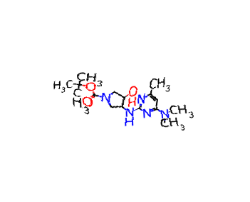 Cc1cc(N(C)C)nc(NC2CN(C(=O)OC(C)(C)C)CC2O)n1